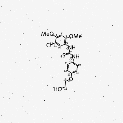 COc1cc(OC)c(NC(=S)Nc2ccc(OCCO)cc2)cc1Cl